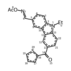 CCn1c2ccc(C=NOC(C)=O)cc2c2cc(C(=O)c3cccs3)ccc21